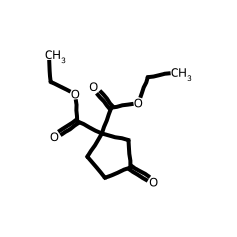 CCOC(=O)C1(C(=O)OCC)CCC(=O)C1